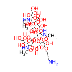 CC(=O)N[C@@H]1C([C@H](O)[C@H](O)CO)O[C@](OC2[C@@H](O)C(CO)O[C@@H](OC3[C@H](O)C(CO[C@]4(C=O)C[C@@H](O)[C@@H](NC(C)=O)C([C@H](O)[C@H](O)CO)O4)O[C@@H](OC4[C@@H](O)C(CO)O[C@@H](OCCCCCN)[C@H]4O)[C@H]3NC(C)=O)[C@H]2O)(C(=O)O)C[C@@H]1O